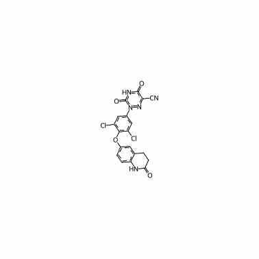 N#Cc1nn(-c2cc(Cl)c(Oc3ccc4c(c3)CCC(=O)N4)c(Cl)c2)c(=O)[nH]c1=O